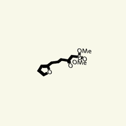 COP(=O)(CC(=O)CCCc1ccco1)OC